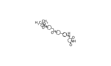 CC(C)(C)OC(=O)N1CCC(CC(=O)N2CCC(c3ccc(NC4CCC(=O)NC4=O)cc3)CC2)CC1